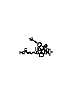 CC(C)N(C(=O)c1ccc(C#CC2CCC2)cc1)C(O)c1ccccc1OCCCCCC(=O)O